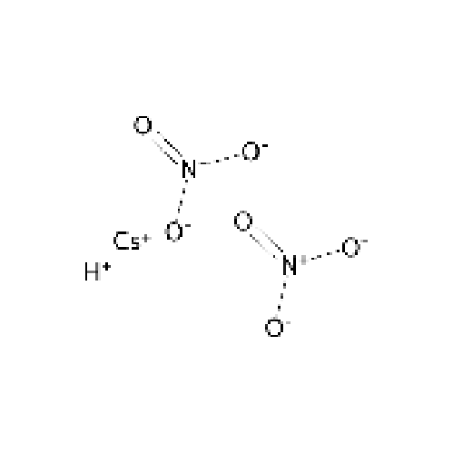 O=[N+]([O-])[O-].O=[N+]([O-])[O-].[Cs+].[H+]